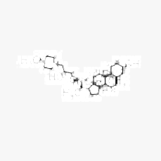 CC(=NOCC(O)CN1CCN(C)CC1)[C@H]1CC[C@H]2[C@@H]3CC=C4C[C@@H](O)CC[C@]4(C)[C@H]3CC[C@]12C